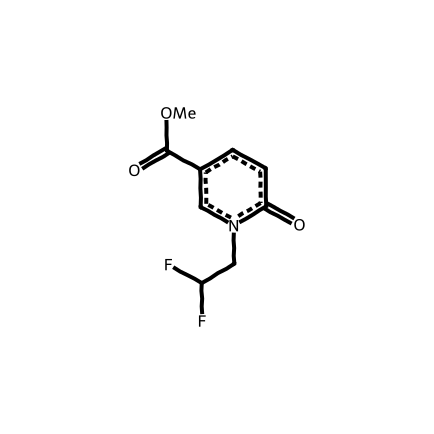 COC(=O)c1ccc(=O)n(CC(F)F)c1